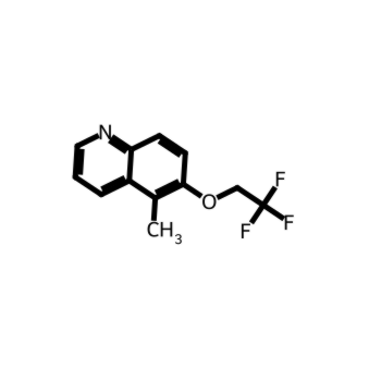 Cc1c(OCC(F)(F)F)ccc2ncccc12